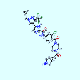 Cn1c(-c2cn(CC3CC3)nc2C(F)(F)F)cnc1C(=O)Nc1ccc(C(=O)N2CCN(C(=O)C3C4CNCC43)CC2)c(Cl)c1